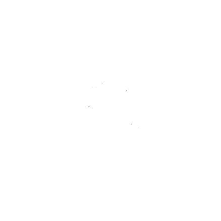 C=C[Si]1(C)O[Si](C)(C)O[SiH2]O[SiH2]O[Si](C=C)(C=C)O1